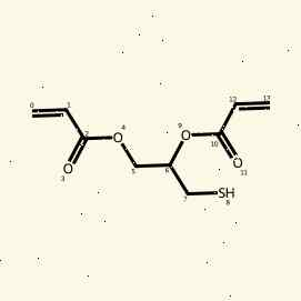 C=CC(=O)OCC(CS)OC(=O)C=C